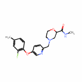 CNC(=O)C1CN(Cc2ccc(Oc3ccc(C)cc3F)cn2)CCO1